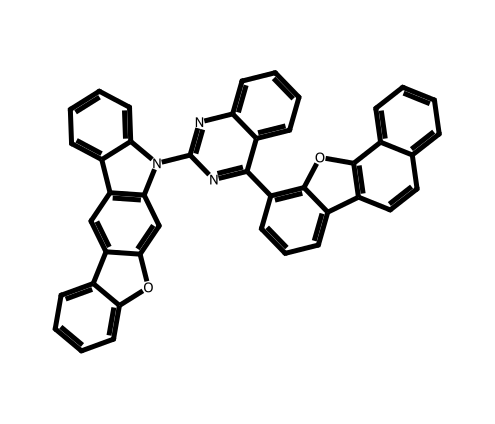 c1ccc2c(c1)ccc1c3cccc(-c4nc(-n5c6ccccc6c6cc7c(cc65)oc5ccccc57)nc5ccccc45)c3oc21